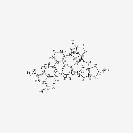 C=C1C[C@H]2N(C[C@H]3CC[C@@]2(OC[C@@]24CCCN2C[C@H](F)C4)N3)c2ncnc3c(F)c(-c4ccc(F)c5sc(N)c(C#N)c45)c(C(F)(F)F)c1c23